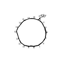 [Sb][CH]1CCCCCCCCCCCCCCCCC1